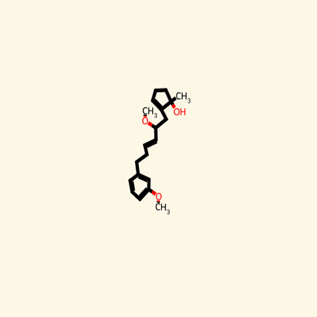 COc1cccc(CC/C=C/C(CC2=CCCC2(C)O)OC)c1